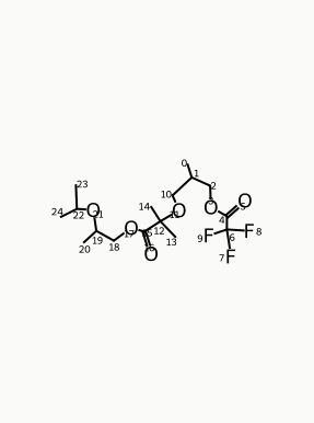 CC(COC(=O)C(F)(F)F)COC(C)(C)C(=O)OCC(C)OC(C)C